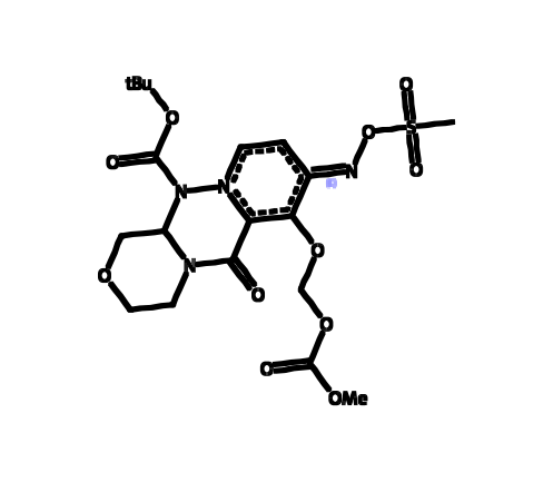 COC(=O)OCOc1c2n(cc/c1=N\OS(C)(=O)=O)N(C(=O)OC(C)(C)C)C1COCCN1C2=O